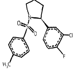 Cc1ccc(S(=O)(=O)N2CCC[C@H]2c2ccc(F)c(Cl)c2)cc1